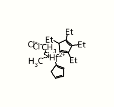 CCC1=C(CC)C(CC)[C]([Hf+2]([C]2=CC=CC2)=[Si](C)C)=C1CC.[Cl-].[Cl-]